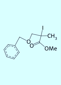 COC(=O)C(C)(I)COCc1ccccc1